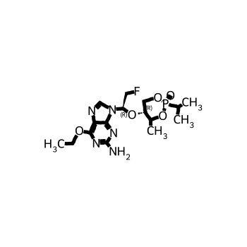 CCOc1nc(N)nc2c1ncn2[C@@H](CF)O[C@@H]1COP(=O)(C(C)C)OC1C